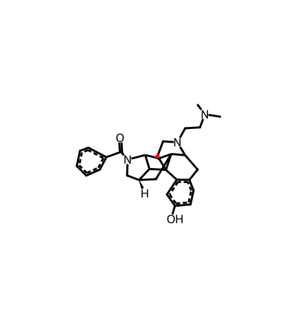 CN(C)CCN1CCC23c4cc(O)ccc4CC1C21CCC2C3[C@@H](CN2C(=O)c2ccccc2)C1